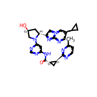 Cc1ccnc([C@H]2C[C@@H]2C(=O)Nc2cc(N3C[C@@H](O)C[C@@H]3c3cn4cc(C5CC5)cnc4n3)ncn2)n1